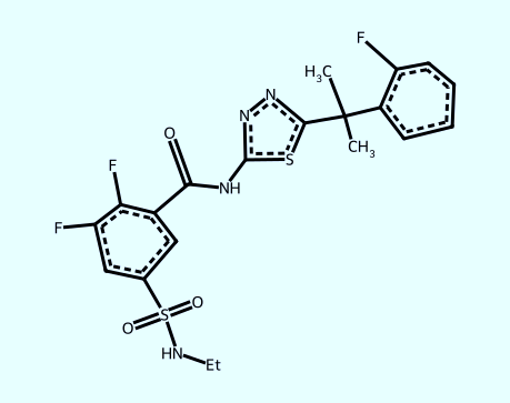 CCNS(=O)(=O)c1cc(F)c(F)c(C(=O)Nc2nnc(C(C)(C)c3ccccc3F)s2)c1